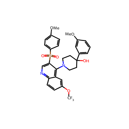 COc1ccc(S(=O)(=O)c2cnc3ccc(OC(F)(F)F)cc3c2N2CCC(O)(c3cccc(OC)c3)CC2)cc1